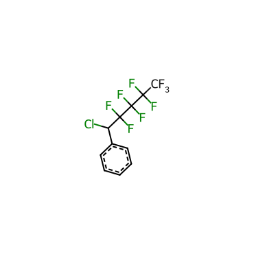 FC(F)(F)C(F)(F)C(F)(F)C(F)(F)C(Cl)c1ccccc1